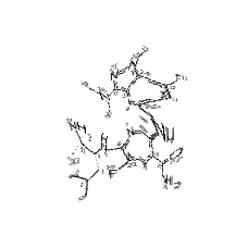 CC(C)C[C@@H](Nc1nc(Nc2cc(F)c3c(c2)c(N(C)C)nn3C)c(C(N)=O)cc1F)[C@H](C)N